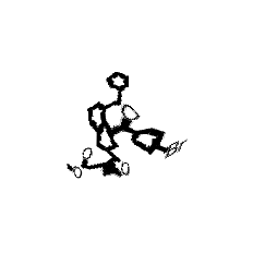 COC(=O)c1ccoc1-c1cc(C(=O)c2ccc(Br)cc2)c2c(Cc3ccccc3)cccc2c1